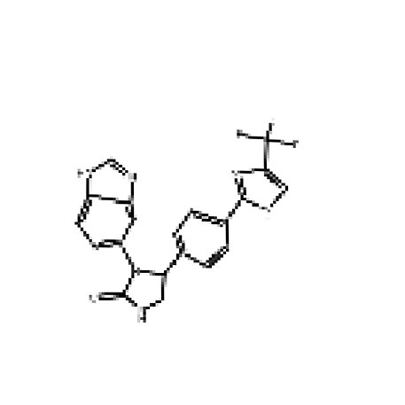 O=C1NCC(c2ccc(-c3nc(C(F)(F)F)c[nH]3)cc2)N1c1ccc2[nH]cnc2c1